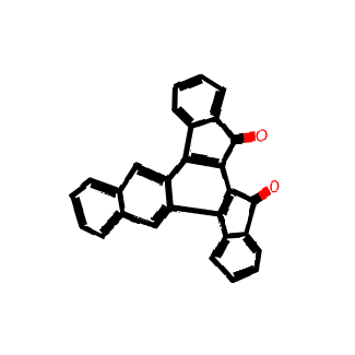 O=c1c2ccccc2c2c3cc4ccccc4cc3c3c4ccccc4c(=O)c3c12